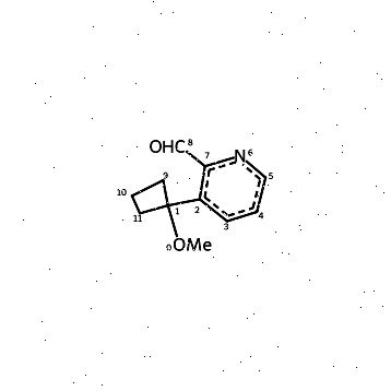 COC1(c2cccnc2C=O)CCC1